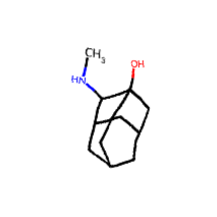 CNC1C2CC3CC(C2)CC1(O)C3